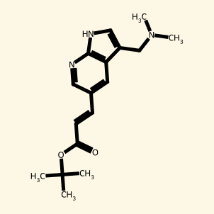 CN(C)Cc1c[nH]c2ncc(/C=C/C(=O)OC(C)(C)C)cc12